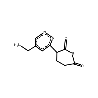 NCc1cnnc(C2CCC(=O)NC2=O)c1